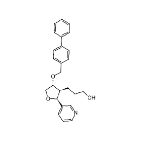 OCCC[C@@H]1[C@@H](OCc2ccc(-c3ccccc3)cc2)CO[C@@H]1c1cccnc1